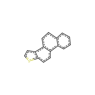 c1ccc2c(c1)ccc1c3ccsc3ccc21